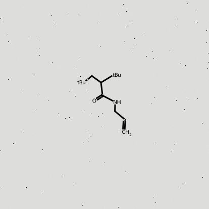 C=CCNC(=O)C(CC(C)(C)C)C(C)(C)C